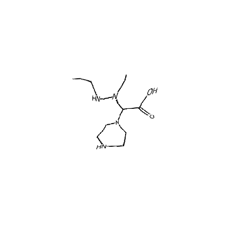 CCNN(C)C(C(=O)O)N1CCNCC1